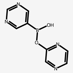 OB(Oc1cnccn1)c1cncnc1